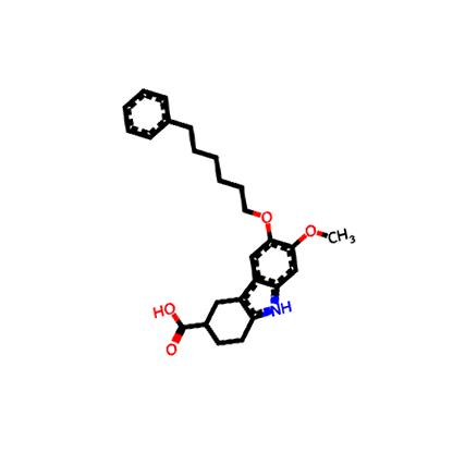 COc1cc2[nH]c3c(c2cc1OCCCCCCc1ccccc1)CC(C(=O)O)CC3